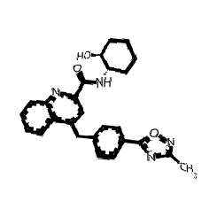 Cc1noc(-c2ccc(Cc3cc(C(=O)N[C@H]4CCCC[C@@H]4O)nc4ccccc34)cc2)n1